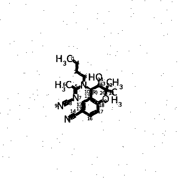 CCCCN(C(C)=NC#N)[C@@H]1c2cc(C#N)ccc2OC(C)(C)[C@H]1O